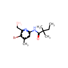 BCc1nc(NC(=O)C(C)(C)CC)cc(C)c1Br